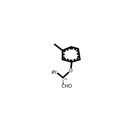 Cc1cccc(O[C@H](C=O)C(C)C)c1